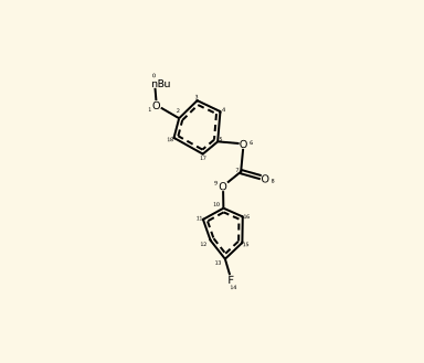 CCCCOc1ccc(OC(=O)Oc2ccc(F)cc2)cc1